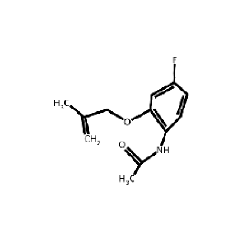 C=C(C)COc1cc(F)ccc1NC(C)=O